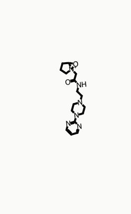 O=C(C[N+]12CCCC1O2)NCCN1CCN(c2ncccn2)CC1